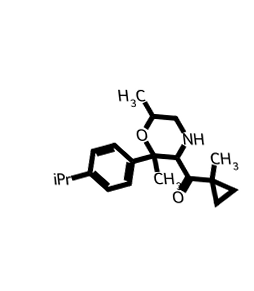 CC1CNC(C(=O)C2(C)CC2)C(C)(c2ccc(C(C)C)cc2)O1